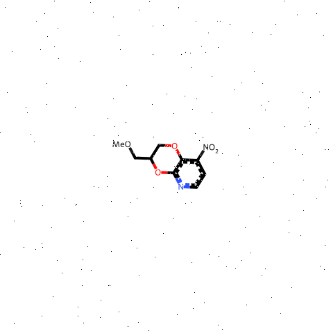 COCC1COc2c([N+](=O)[O-])ccnc2O1